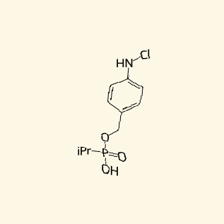 CC(C)P(=O)(O)OCc1ccc(NCl)cc1